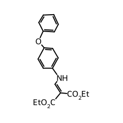 CCOC(=O)C(=CNc1ccc(Oc2ccccc2)cc1)C(=O)OCC